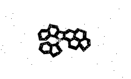 c1ccc2c(B3c4c(ccc5ccccc45)-c4cc5ccc6cccc7ccc(c43)c5c67)cccc2c1